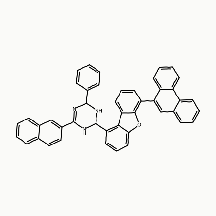 c1ccc(C2N=C(c3ccc4ccccc4c3)NC(c3cccc4oc5c(-c6cc7ccccc7c7ccccc67)cccc5c34)N2)cc1